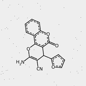 N#CC1=C(N)Oc2c(c(=O)oc3ccccc23)C1c1ccco1